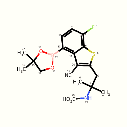 CC(C)(Cc1sc2c(F)ccc(B3OCC(C)(C)O3)c2c1C#N)NC(=O)O